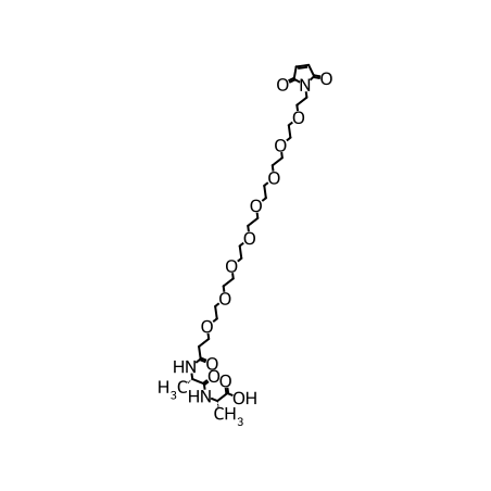 C[C@H](NC(=O)[C@H](C)NC(=O)CCOCCOCCOCCOCCOCCOCCOCCOCCN1C(=O)C=CC1=O)C(=O)O